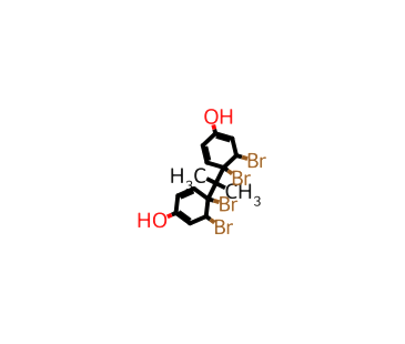 CC(C)(C1(Br)C=CC(O)=CC1Br)C1(Br)C=CC(O)=CC1Br